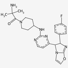 CC(C)(N)C(=O)N1CCC(Nc2nccc(C3C(c4ccc(F)cc4)N=C4OC=CN43)n2)CC1